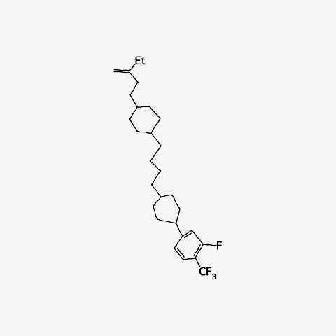 C=C(CC)CCC1CCC(CCCCC2CCC(c3ccc(C(F)(F)F)c(F)c3)CC2)CC1